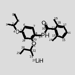 CCC(C)Oc1ccc(PC(=O)c2c(C)cccc2C)c(OC(C)CC)c1.[LiH]